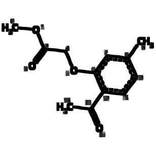 COC(=O)COc1cc(C)ccc1C(C)=O